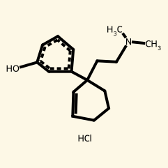 CN(C)CCC1(c2cccc(O)c2)C=CCCC1.Cl